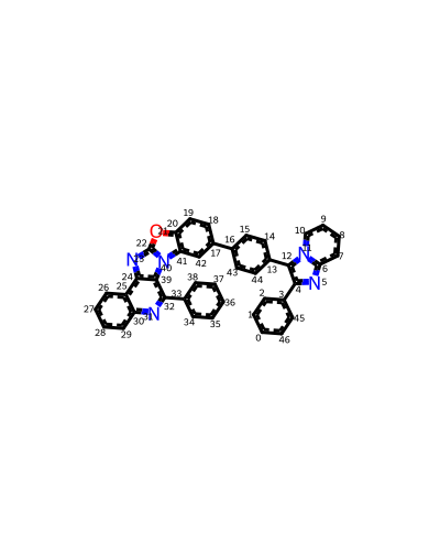 c1ccc(-c2nc3ccccn3c2-c2ccc(-c3ccc4oc5nc6c7ccccc7nc(-c7ccccc7)c6n5c4c3)cc2)cc1